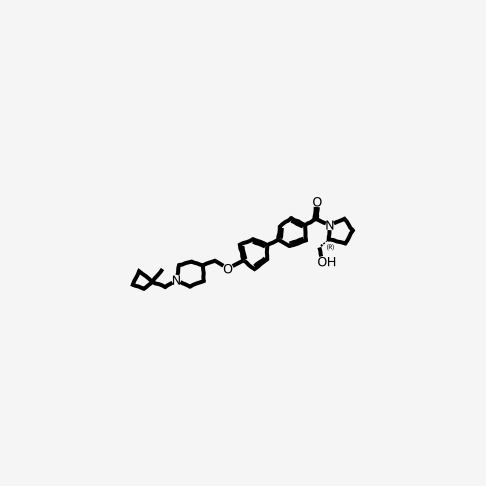 CC1(CN2CCC(COc3ccc(-c4ccc(C(=O)N5CCC[C@@H]5CO)cc4)cc3)CC2)CCC1